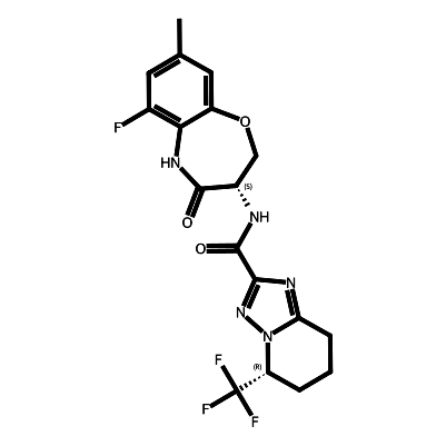 Cc1cc(F)c2c(c1)OC[C@H](NC(=O)c1nc3n(n1)[C@@H](C(F)(F)F)CCC3)C(=O)N2